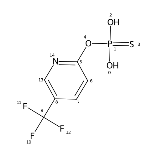 OP(O)(=S)Oc1ccc(C(F)(F)F)cn1